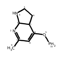 CC1=NC2NCCC2C(OP)=C1